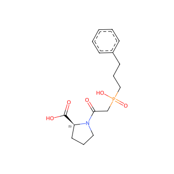 O=C(O)[C@@H]1CCCN1C(=O)CP(=O)(O)CCCc1ccccc1